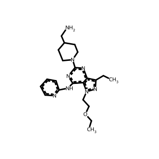 CCOCCn1nc(CC)c2nc(N3CCC(CN)CC3)nc(Nc3ccccn3)c21